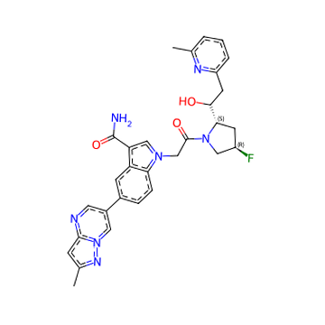 Cc1cccc(CC(O)[C@@H]2C[C@@H](F)CN2C(=O)Cn2cc(C(N)=O)c3cc(-c4cnc5cc(C)nn5c4)ccc32)n1